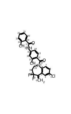 C=C1c2cc(Cl)ccc2N(C(=O)c2ccc(NC(=O)c3ccccc3C)cc2C)CCC1(F)F